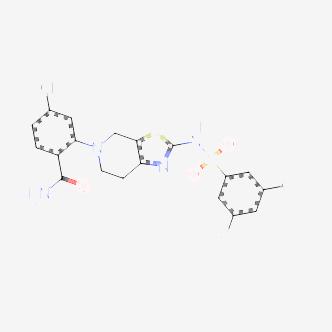 Cc1cc(C(F)(F)F)cc(S(=O)(=O)Nc2nc3c(s2)CN(c2cc(C(F)(F)F)ccc2C(N)=O)CC3)c1